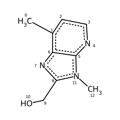 Cc1ccnc2c1nc(CO)n2C